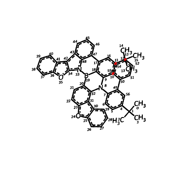 CC(C)(C)c1ccc(N2c3cc(C(C)(C)C)cc4c3B(c3ccc5oc6ccccc6c5c32)n2c3oc5ccccc5c3c3cccc-4c32)c(-c2ccccc2)c1